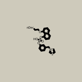 CCCCCCCCCCCCOc1cccc2cccc(OP(=O)(O)Oc3cccc(C[n+]4ccsc4)c3)c12